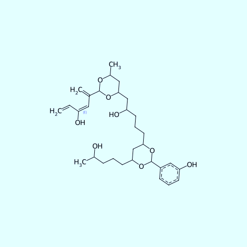 C=C/C(O)=C\C(=C)C1OC(C)CC(CC(O)CCCC2CC(CCCC(C)O)OC(c3cccc(O)c3)O2)O1